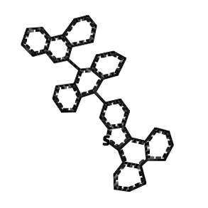 c1ccc2c(c1)cc(-c1c3ccccc3c(-c3ccc4c(c3)sc3c5ccccc5c5ccccc5c43)c3ccccc13)c1ccccc12